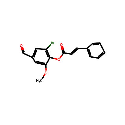 COc1cc(C=O)cc(Br)c1OC(=O)C=Cc1ccccc1